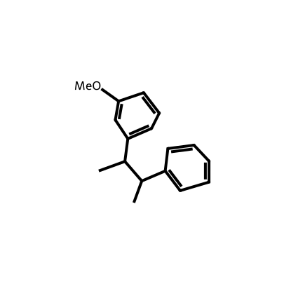 COc1cccc(C(C)C(C)c2ccccc2)c1